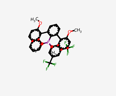 COc1cccc(OC)c1-c1cccc(-c2c(OC)cccc2OC)c1P(c1ccccc1)c1cc(C(F)(F)F)cc(C(F)(F)F)c1